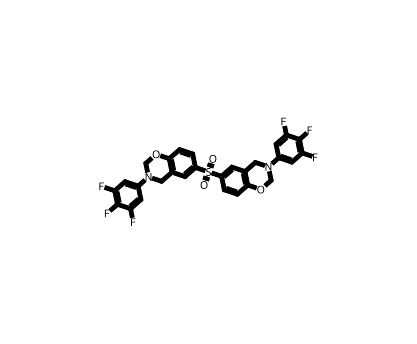 O=S(=O)(c1ccc2c(c1)CN(c1cc(F)c(F)c(F)c1)CO2)c1ccc2c(c1)CN(c1cc(F)c(F)c(F)c1)CO2